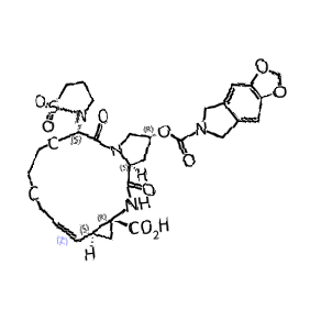 O=C1N[C@]2(C(=O)O)C[C@H]2/C=C\CCCCC[C@H](N2CCCS2(=O)=O)C(=O)N2C[C@H](OC(=O)N3Cc4cc5c(cc4C3)OCO5)C[C@@H]12